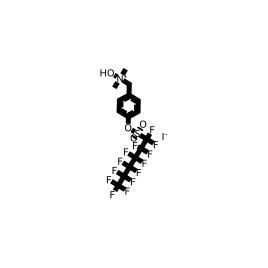 C[N+](C)(O)Cc1ccc(OS(=O)(=O)C(F)(F)C(F)(F)C(F)(F)C(F)(F)C(F)(F)C(F)(F)F)cc1.[I-]